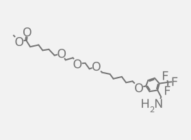 COC(=O)CCCCCOCCOCCOCCCCCCOc1ccc(C(F)(F)F)c(CN)c1